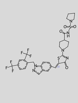 O=C1N=C(N2CCC(C(=O)NS(=O)(=O)N3CCCC3)CC2)S/C1=C\c1ccc2c(cnn2Cc2ccc(C(F)(F)F)cc2C(F)(F)F)c1